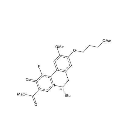 COCCCOc1cc2c(cc1OC)-c1c(F)c(=O)c(C(=O)OC)cn1[C@@H](C(C)(C)C)C2